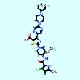 CCC(CC)N1CCN(c2cnc(-c3nc(N4CC[C@@H](NC(=O)c5[nH]c(C)c(Cl)c5Cl)[C@@H](OC)C4)sc3C(=O)O)cn2)CC1